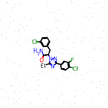 CCc1nc(-c2ccc(Cl)c(F)c2)nn1C(Cc1cccc(Cl)c1)C(N)=O